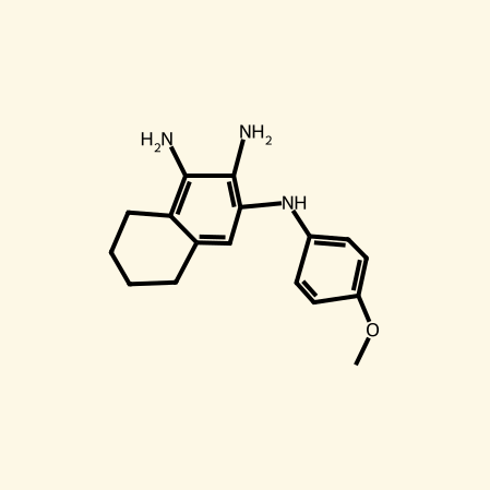 COc1ccc(Nc2cc3c(c(N)c2N)CCCC3)cc1